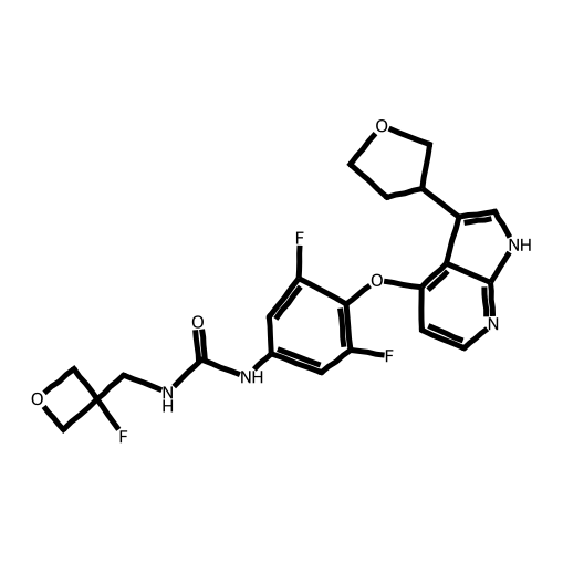 O=C(NCC1(F)COC1)Nc1cc(F)c(Oc2ccnc3[nH]cc(C4CCOC4)c23)c(F)c1